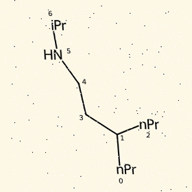 CCCC(CCC)CCNC(C)C